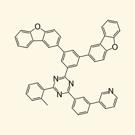 Cc1ccccc1-c1nc(-c2cccc(-c3cccnc3)c2)nc(-c2cc(-c3ccc4oc5ccccc5c4c3)cc(-c3ccc4oc5ccccc5c4c3)c2)n1